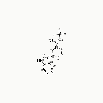 CC(C)(C)OC(=O)N1CCCC(c2c[nH]c3cnccc23)C1